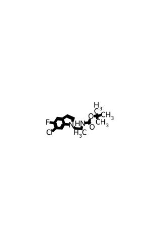 C[C@@H](Cn1ccc2cc(F)c(Cl)cc21)NC(=O)OC(C)(C)C